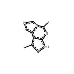 Clc1nc2[nH]nc(I)c2c2nncn12